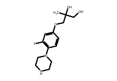 CC(O)(CO)COc1ccc(N2CCNCC2)c(F)c1